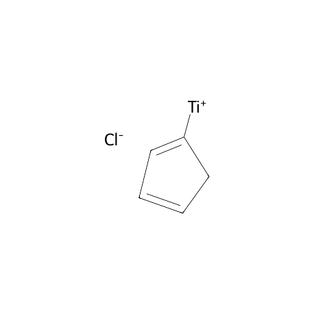 [Cl-].[Ti+][C]1=CC=CC1